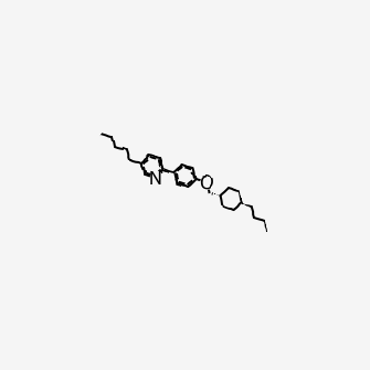 CCCCCc1ccc(-c2ccc(OC[C@H]3CC[C@H](CCCC)CC3)cc2)nc1